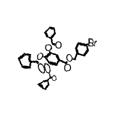 O=C(OCc1ccc(Br)cc1)c1cc(OC(=O)c2ccccc2)c(OC(=O)c2ccccc2)c(OC(=O)c2ccccc2)c1